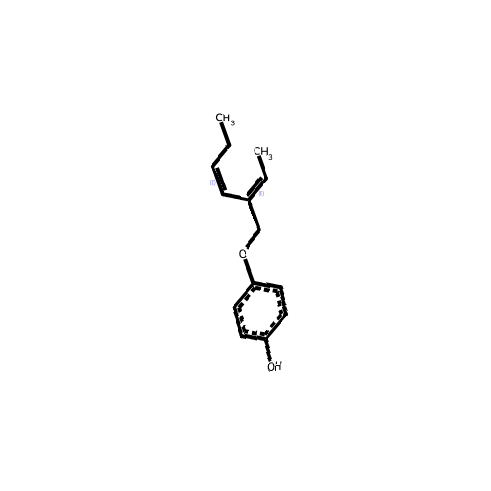 C/C=C(\C=C/CC)COc1ccc(O)cc1